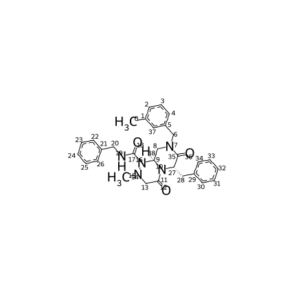 Cc1cccc(CN2C[C@H]3N(C(=O)CN(C)N3C(=O)NCc3ccccc3)[C@@H](Cc3ccccc3)C2=O)c1